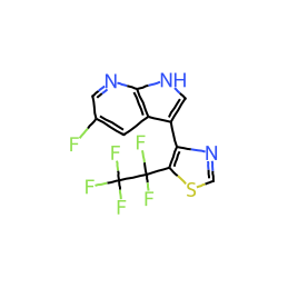 Fc1cnc2[nH]cc(-c3ncsc3C(F)(F)C(F)(F)F)c2c1